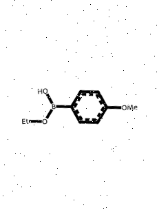 CCOB(O)c1ccc(OC)cc1